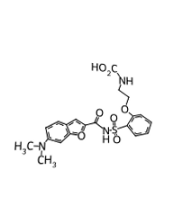 CN(C)c1ccc2cc(C(=O)NS(=O)(=O)c3ccccc3OCCNC(=O)O)oc2c1